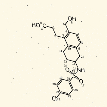 O=C(O)CCc1c(CO)ccc2c1CCC(NS(=O)(=O)c1ccc(Cl)cc1)C2